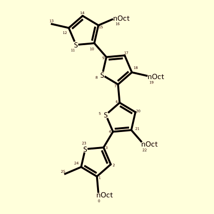 CCCCCCCCc1cc(-c2sc(-c3sc(-c4sc(C)cc4CCCCCCCC)cc3CCCCCCCC)cc2CCCCCCCC)sc1C